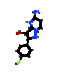 Nc1ccn2nc(-c3ccc(F)cc3)c(Br)c2n1